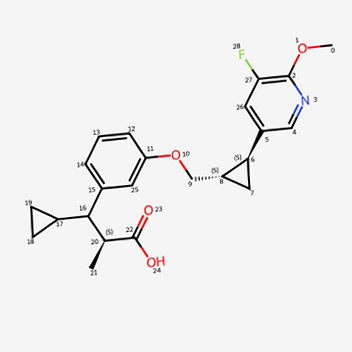 COc1ncc([C@H]2C[C@@H]2COc2cccc(C(C3CC3)[C@H](C)C(=O)O)c2)cc1F